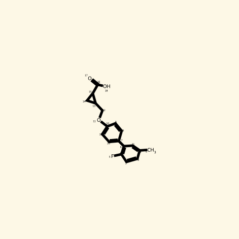 Cc1ccc(F)c(-c2ccc(OCC3CC3C(=O)O)cc2)c1